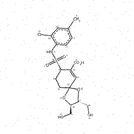 Cc1ccc(NS(=O)(=O)C2CCC3(C=C2C(=O)O)O[C@H](CO)[C@@H](CO)O3)c(Cl)c1